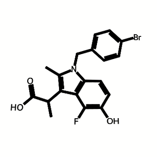 Cc1c(C(C)C(=O)O)c2c(F)c(O)ccc2n1Cc1ccc(Br)cc1